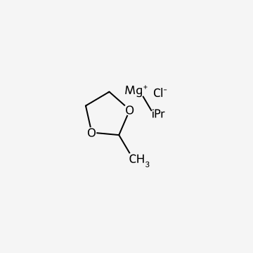 CC1OCCO1.C[CH](C)[Mg+].[Cl-]